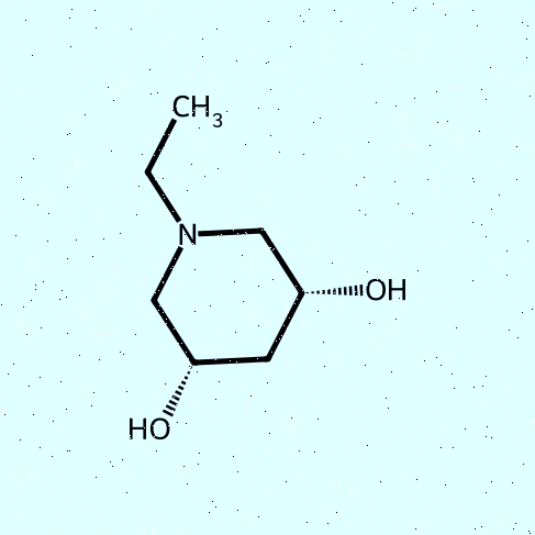 CCN1C[C@H](O)C[C@H](O)C1